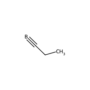 B#CCC